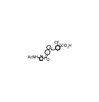 CC(=O)Nc1ccn(C(=O)N2CCC3(CCCN3Cc3ccc(C(=O)O)c(C(F)(F)F)c3)CC2)n1